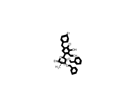 C=Cc1c(C2O[C@H](CC)[C@@H](C)[C@H](OCc3ccccc3)[C@H]2OCc2ccccc2)cc(Cc2ccc(CC)cc2)c(Cl)c1O